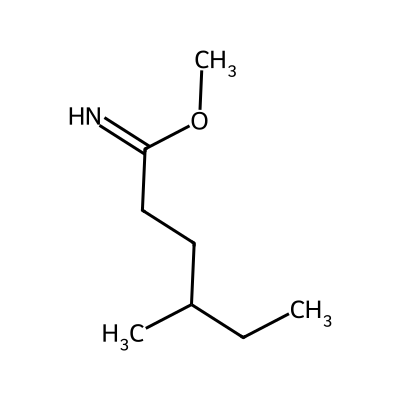 CCC(C)CCC(=N)OC